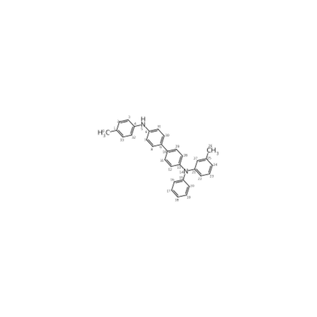 Cc1ccc(Nc2ccc(-c3ccc(N(c4ccccc4)c4cccc(C)c4)cc3)cc2)cc1